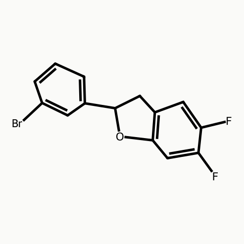 Fc1cc2c(cc1F)OC(c1cccc(Br)c1)C2